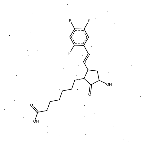 O=C(O)CCCCCCC1C(=O)C(O)CC1/C=C/c1cc(F)c(F)cc1F